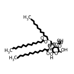 CCCCCCCCCCCCCC(=O)N[C@H]1C(O)O[C@H](CO)[C@@H](OP(=O)(O)O)[C@@H]1OC(=O)C[C@@H](CCCCCCCCCCC)OC(=O)CCCCCCCCCCCCC